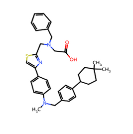 CN(Cc1ccc(C2CCC(C)(C)CC2)cc1)c1ccc(-c2csc(CN(CC(=O)O)Cc3ccccc3)n2)cc1